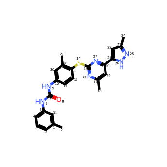 Cc1cccc(NC(=O)Nc2ccc(Sc3nc(C)cc(-c4cc(C)n[nH]4)n3)c(C)c2)c1